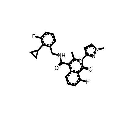 Cc1c(C(=O)NCc2cccc(F)c2C2CC2)c2cccc(F)c2c(=O)n1-c1ccn(C)n1